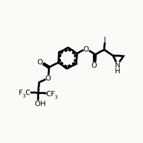 O=C(OCC(O)(C(F)(F)F)C(F)(F)F)c1ccc(OC(=O)C(I)C2CN2)cc1